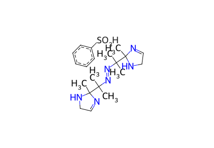 CC(C)(N=NC(C)(C)C1(C)N=CCN1)C1(C)N=CCN1.O=S(=O)(O)c1ccccc1